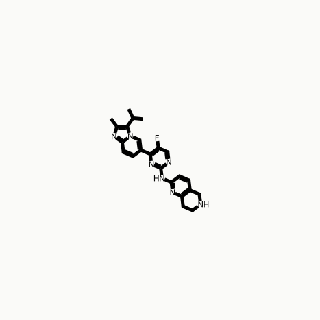 Cc1nc2ccc(-c3nc(Nc4ccc5c(n4)CCNC5)ncc3F)cn2c1C(C)C